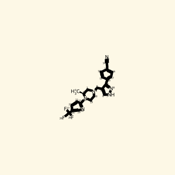 C[C@H]1CN(Cc2c[nH]nc2-c2ccc(C#N)cc2)CCN1c1ccc(C(F)(F)F)cn1